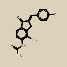 CC(=O)Nc1ccc2c(c1C)CC(=Cc1ccc(F)cc1)C2=O